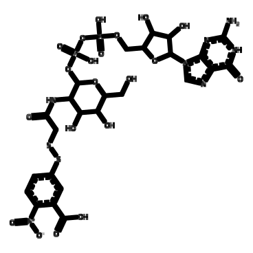 Nc1nc2c(ncn2C2OC(COP(=O)(O)OP(=O)(O)OC3OC(CO)C(O)C(O)C3NC(=O)CSSc3ccc([N+](=O)[O-])c(C(=O)O)c3)C(O)C2O)c(=O)[nH]1